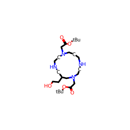 CC(C)(C)OC(=O)CN1CCCNCCN(CC(=O)OC(C)(C)C)CC(CCO)CNCC1